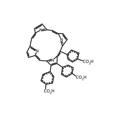 O=C(O)c1ccc(C2=C3N=C(C=C4C=CC(=N4)C=C4C=CC(=N4)C=C4C=CC2=N4)C(c2ccc(C(=O)O)cc2)=C3c2ccc(C(=O)O)cc2)cc1